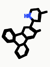 CC1=CC(C2=C(C)C=C3C(C2)c2ccccc2C2C=CC=CC32)NCC1